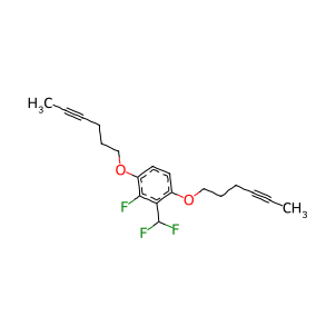 CC#CCCCOc1ccc(OCCCC#CC)c(C(F)F)c1F